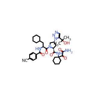 CC(C)(O)c1cnnn1[C@H]1C[C@@H](C(=O)NC2(C(=O)C(N)=O)CCCCC2)N(C(=O)C(CC2CCCCC2)NC(=O)c2ccc(C#N)cc2)C1